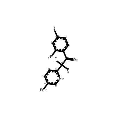 O=C(c1ccc(I)cc1F)C(F)(F)c1ccc(Br)cn1